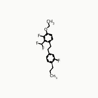 CCCc1ccc(CCc2ccc(OCC)c(F)c2C(F)F)cc1F